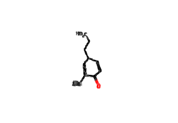 CC(C)(C)C1=CC(CCC(=O)O)C=CC1=O